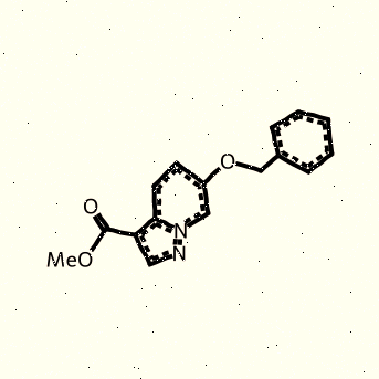 COC(=O)c1cnn2cc(OCc3ccccc3)ccc12